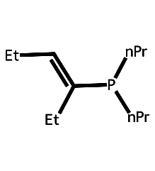 CC/C=C(\CC)P(CCC)CCC